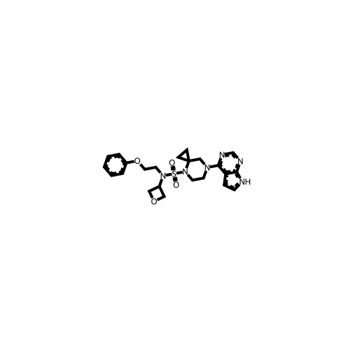 O=S(=O)(N(CCOc1ccccc1)C1COC1)N1CCN(c2ncnc3[nH]ccc23)CC12CC2